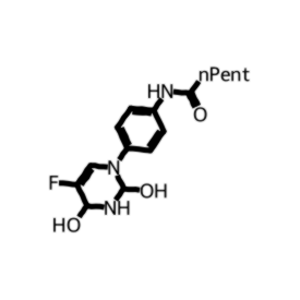 CCCCCC(=O)Nc1ccc(N2C=C(F)C(O)NC2O)cc1